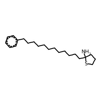 NC1(CCCCCCCCCCCCc2ccccc2)CCCS1